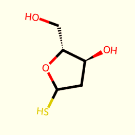 OC[C@H]1OC(S)C[C@@H]1O